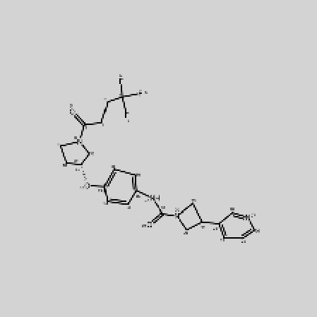 O=C(CCC(F)(F)F)N1CC[C@@H](Oc2ccc(NC(=O)N3CC(c4cccnc4)C3)cc2)C1